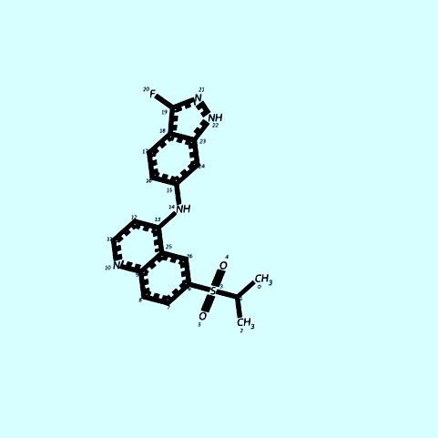 CC(C)S(=O)(=O)c1ccc2nccc(Nc3ccc4c(F)n[nH]c4c3)c2c1